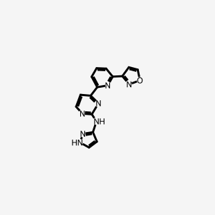 c1cc(-c2ccon2)nc(-c2ccnc(Nc3cc[nH]n3)n2)c1